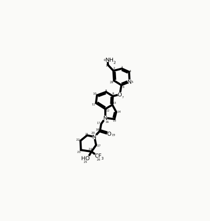 NCc1ccnc(Oc2cccc3c2ccn3CC(=O)N2CCCC(O)(C(F)(F)F)C2)c1